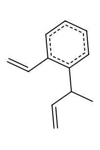 C=Cc1ccccc1C(C)C=C